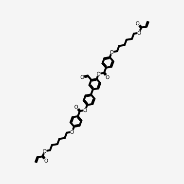 C=CC(=O)OCCCCCCOc1ccc(C(=O)Oc2ccc(-c3ccc(OC(=O)c4ccc(OCCCCCCOC(=O)C=C)cc4)c(C=O)c3)cc2)cc1